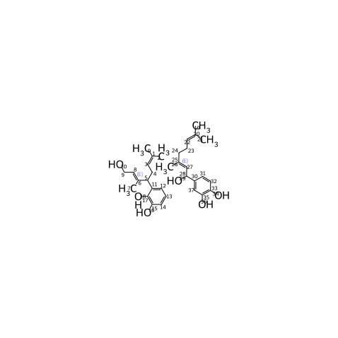 CC(C)=CCC(/C(C)=C/CO)c1cccc(O)c1O.CC(C)=CCC/C(C)=C/C(O)c1ccc(O)c(O)c1